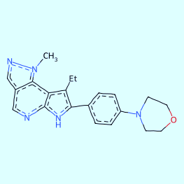 CCc1c(-c2ccc(N3CCOCC3)cc2)[nH]c2ncc3cnn(C)c3c12